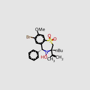 C=C(C)[C@@]1(CCCC)CS(=O)(=O)c2cc(OC)c(Br)cc2[C@@H](c2ccccc2)N1O